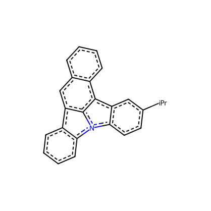 CC(C)c1ccc2c(c1)c1c3ccccc3cc3c4ccccc4n2c31